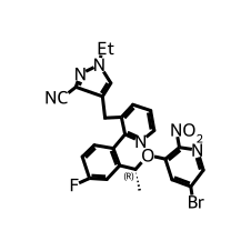 CCn1cc(Cc2cccnc2-c2ccc(F)cc2[C@@H](C)Oc2cc(Br)cnc2[N+](=O)[O-])c(C#N)n1